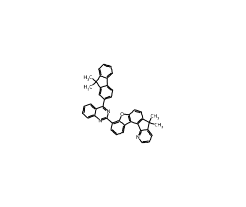 CC1(C)c2ccccc2-c2ccc(-c3nc(-c4cccc5c4oc4ccc6c(c45)-c4ncccc4C6(C)C)nc4ccccc34)cc21